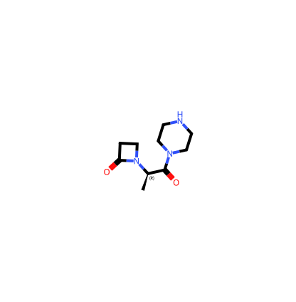 C[C@H](C(=O)N1CCNCC1)N1CCC1=O